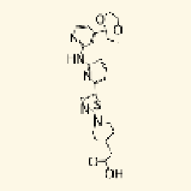 O=C(O)CC1CCN(c2ncc(-c3cccc(Nc4cc(C5(CI)OCCO5)ccn4)n3)s2)CC1